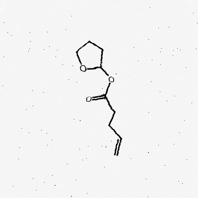 C=CCCC(=O)OC1CCCO1